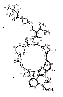 CO[C@@H](C)c1ncccc1-c1c2c3cc(ccc3n1C)-c1nc(nn1C)C[C@H](NC(=O)[C@@H](COC1CN(C(=O)OC(C)(C)C)C1)C(C)C)C(=O)N1CCC[C@H](N1)C(=O)OCC(C)(C)C2